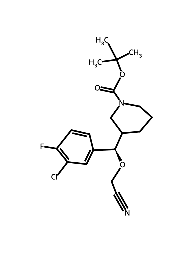 CC(C)(C)OC(=O)N1CCCC([C@@H](OCC#N)c2ccc(F)c(Cl)c2)C1